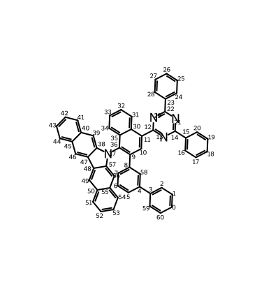 c1ccc(-c2cccc(-c3cc(-c4nc(-c5ccccc5)nc(-c5ccccc5)n4)c4ccccc4c3-n3c4cc5ccccc5cc4c4cc5ccccc5cc43)c2)cc1